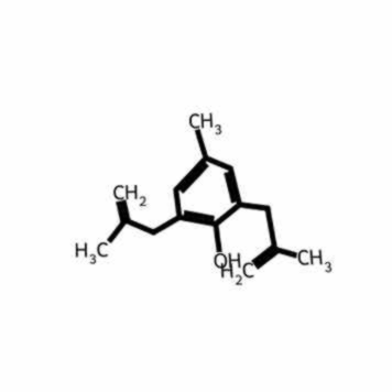 C=C(C)Cc1cc(C)cc(CC(=C)C)c1O